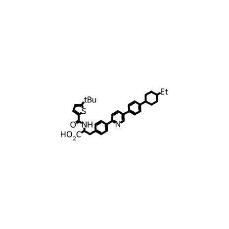 CCC1CCC(c2ccc(-c3ccc(-c4ccc(CC(NC(=O)c5ccc(C(C)(C)C)s5)C(=O)O)cc4)nc3)cc2)CC1